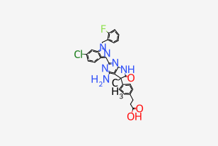 CC1(c2ccc(CCC(=O)O)cc2)C(=O)Nc2nc(-c3nn(Cc4ccccc4F)c4cc(Cl)ccc34)nc(N)c21